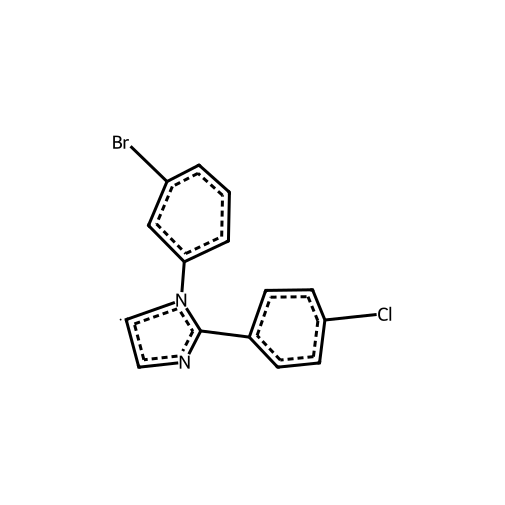 Clc1ccc(-c2nc[c]n2-c2cccc(Br)c2)cc1